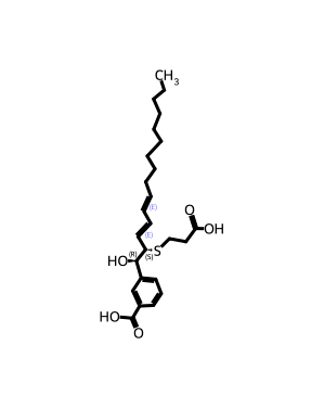 CCCCCCCCC/C=C/C=C/[C@H](SCCC(=O)O)[C@H](O)c1cccc(C(=O)O)c1